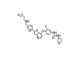 CCCNCc1ccc(-c2cc3nccc(Oc4ccc(NC(=O)N[C@@H]5CCOC5)cc4F)c3s2)nc1